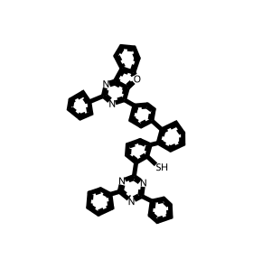 Sc1c(-c2nc(-c3ccccc3)nc(-c3ccccc3)n2)cccc1-c1ccccc1-c1ccc(-c2nc(-c3ccccc3)nc3c2oc2ccccc23)cc1